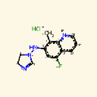 Cc1c(NN2C=NCC2)cc(F)c2cccnc12.Cl